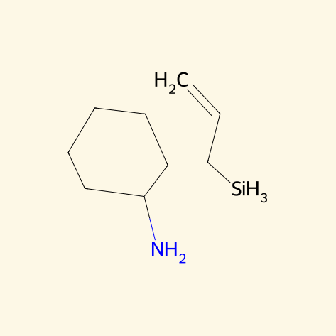 C=CC[SiH3].NC1CCCCC1